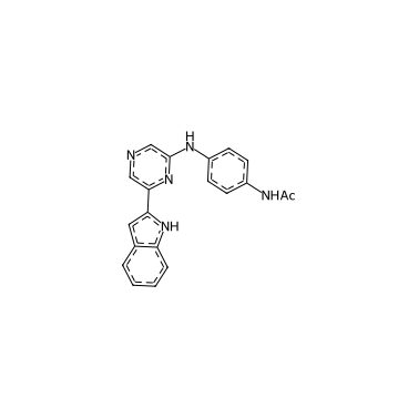 CC(=O)Nc1ccc(Nc2cncc(-c3cc4ccccc4[nH]3)n2)cc1